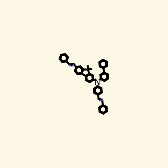 CC1(C)c2cc(/C=C/c3ccccc3)ccc2-c2ccc(N(c3ccc(/C=C/c4ccccc4)cc3)c3cccc(-c4ccccc4)c3)cc21